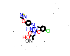 O=NCC(CO)Cn1c(=O)[nH]/c(=N\c2ccc(Oc3cnsn3)cc2)n(Cc2ccc(Cl)cc2)c1=O